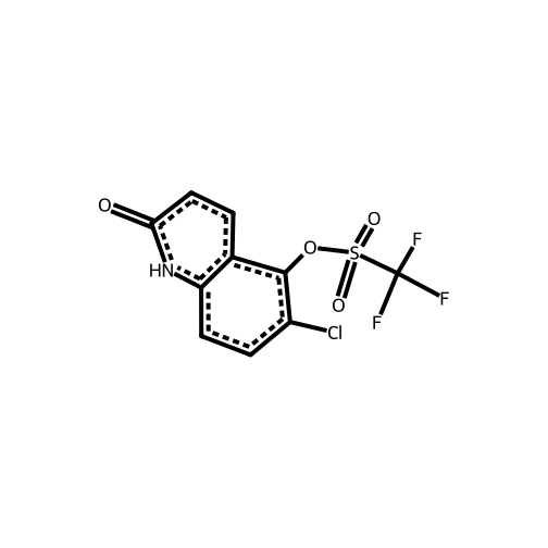 O=c1ccc2c(OS(=O)(=O)C(F)(F)F)c(Cl)ccc2[nH]1